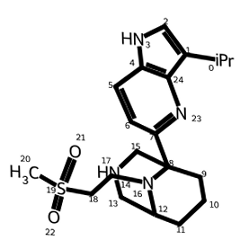 CC(C)c1c[nH]c2ccc(C34CCCC(CNC3)N4CCS(C)(=O)=O)nc12